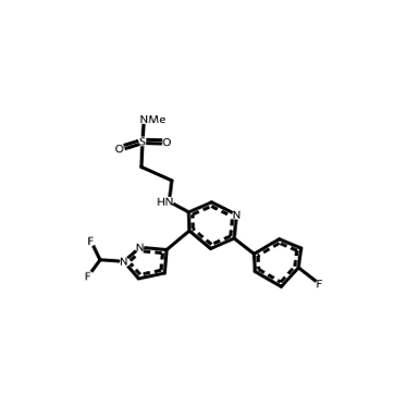 CNS(=O)(=O)CCNc1cnc(-c2ccc(F)cc2)cc1-c1ccn(C(F)F)n1